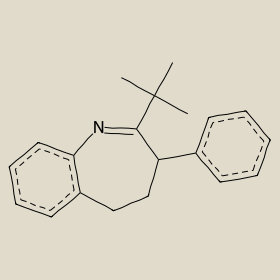 CC(C)(C)C1=Nc2ccccc2CCC1c1ccccc1